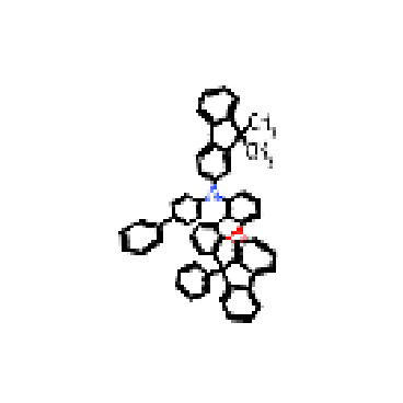 CC1(C)c2ccccc2-c2ccc(N(c3ccc(-c4ccccc4)cc3)c3cccc4oc5c(C6(c7ccccc7)c7ccccc7-c7ccccc76)cccc5c34)cc21